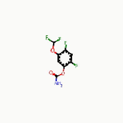 NC(=O)Oc1cc(OC(F)F)c(F)cc1F